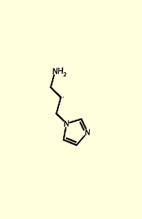 NC[CH]Cn1ccnc1